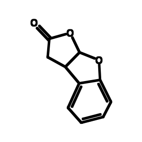 O=C1CC2c3ccccc3OC2O1